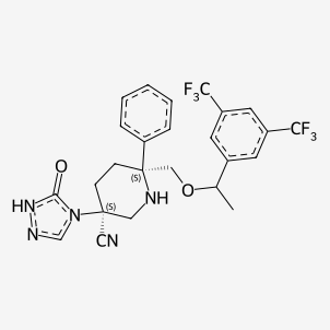 CC(OC[C@@]1(c2ccccc2)CC[C@](C#N)(n2cn[nH]c2=O)CN1)c1cc(C(F)(F)F)cc(C(F)(F)F)c1